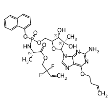 C=CCCOc1nc(N)nc2c1ncn2C1OC(COP(=O)(N[C@@H](C)C(=O)OCC(F)(F)C=C)Oc2cccc3ccccc23)[C@@H](O)[C@@]1(C)O